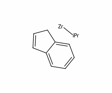 C1=Cc2ccccc2C1.C[CH](C)[Zr]